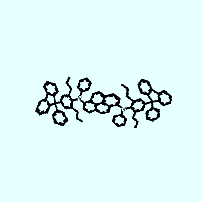 CCCc1cc(C2(c3ccccc3)c3ccccc3-c3ccccc32)cc(CCC)c1N(c1ccccc1)c1ccc2ccc3c(N(c4ccccc4)c4c(CCC)cc(C5(c6ccccc6)c6ccccc6-c6ccccc65)cc4CCC)ccc4ccc1c2c43